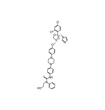 OCCN(C(=S)Nc1ccc(N2CCN(c3ccc(OC[C@@H]4CO[C@@](Cn5ccnc5)(c5ccc(Cl)cc5Cl)O4)cc3)CC2)cc1)c1ccccc1